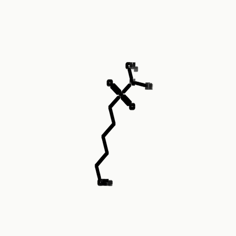 CCN(C)S(=O)(=O)CCCCCOC